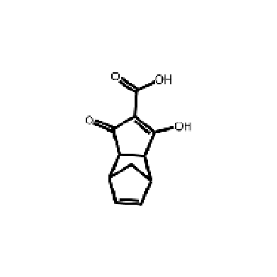 O=C(O)C1=C(O)C2C3C=CC(C3)C2C1=O